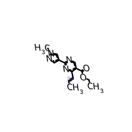 C/C=C/c1nc(-c2cnn(C)c2)ncc1C(=O)OCC